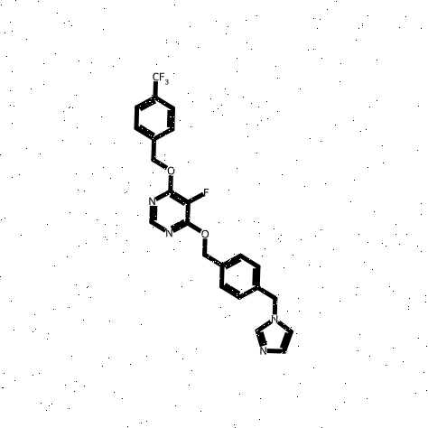 Fc1c(OCc2ccc(Cn3ccnc3)cc2)ncnc1OCc1ccc(C(F)(F)F)cc1